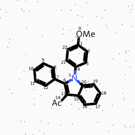 COc1ccc(-n2c(-c3ccccc3)c(C(C)=O)c3ccccc32)cc1